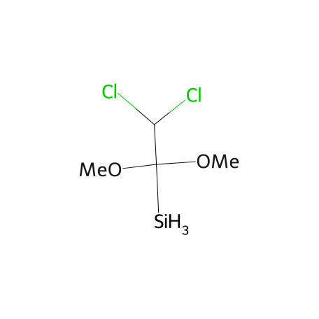 COC([SiH3])(OC)C(Cl)Cl